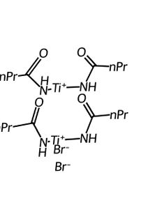 CCCC(=O)[NH][Ti+][NH]C(=O)CCC.CCCC(=O)[NH][Ti+][NH]C(=O)CCC.[Br-].[Br-]